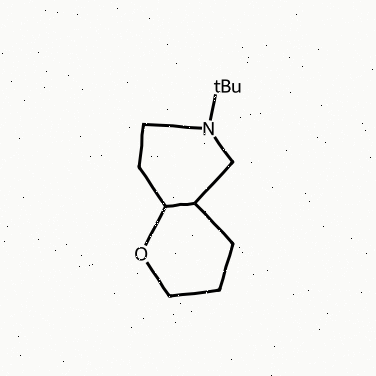 CC(C)(C)N1CCC2OCCCC2C1